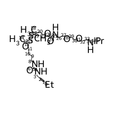 CCC#CCNC(=O)NCCCCOC(C)SSC(C)(C)CCOC(=O)NCCOCCOCCNC(C)C